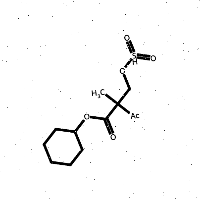 CC(=O)C(C)(CO[SH](=O)=O)C(=O)OC1CCCCC1